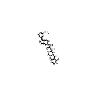 Cc1cc(-n2ncc3cc(NC(=O)NC4CCCN(Cc5c(F)cccc5F)C4)ncc32)ccn1